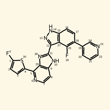 Fc1ccc(-c2nccc3[nH]c(-c4n[nH]c5ccc(-c6cccnc6)c(F)c45)nc23)s1